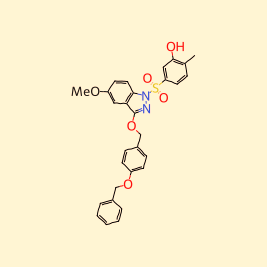 COc1ccc2c(c1)c(OCc1ccc(OCc3ccccc3)cc1)nn2S(=O)(=O)c1ccc(C)c(O)c1